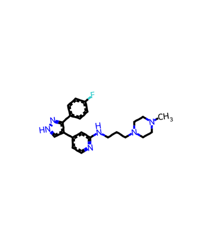 CN1CCN(CCCNc2cc(-c3c[nH]nc3-c3ccc(F)cc3)ccn2)CC1